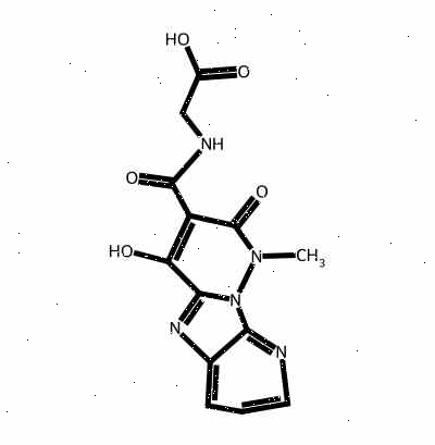 Cn1c(=O)c(C(=O)NCC(=O)O)c(O)c2nc3cccnc3n21